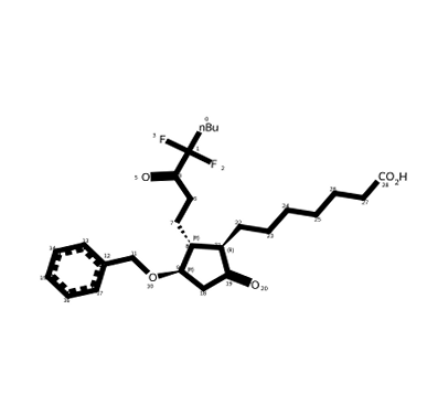 CCCCC(F)(F)C(=O)CC[C@H]1[C@H](OCc2ccccc2)CC(=O)[C@@H]1CCCCCCC(=O)O